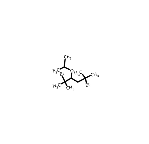 CCC(C)(C)CC(OC(C(F)(F)F)C(F)(F)F)C(C)(C)CC